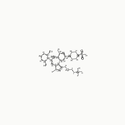 Cc1nn(COCC[Si](C)(C)C)c2c1N=C(c1c(F)cccc1F)Nc1c-2cc(N2CCN(S(C)(=O)=O)CC2)nc1C